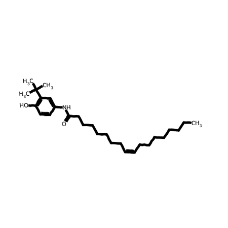 CCCCCCCC/C=C\CCCCCCCC(=O)Nc1ccc(O)c(C(C)(C)C)c1